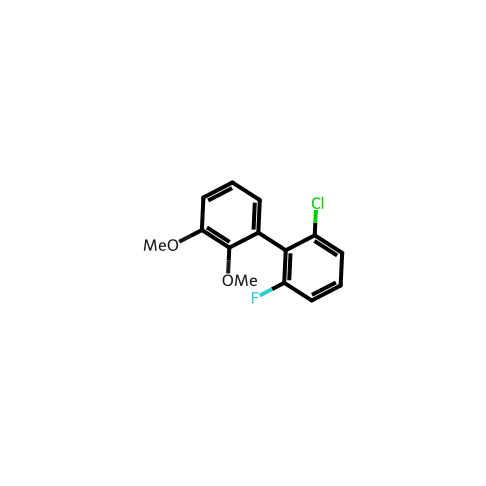 COc1cccc(-c2c(F)cccc2Cl)c1OC